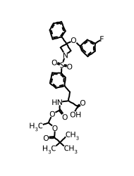 CC(OC(=O)NC(Cc1cccc(S(=O)(=O)N2CC(Oc3cccc(F)c3)(c3ccccc3)C2)c1)C(=O)O)OC(=O)C(C)(C)C